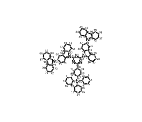 c1ccc([Si](c2ccccc2)(c2ccccc2)c2ccc(-c3nc(-n4c5ccccc5c5cc(-n6c7ccccc7c7ccccc76)ccc54)nc(-n4c5ccccc5c5cc(-n6c7ccccc7c7ccccc76)ccc54)n3)cc2)cc1